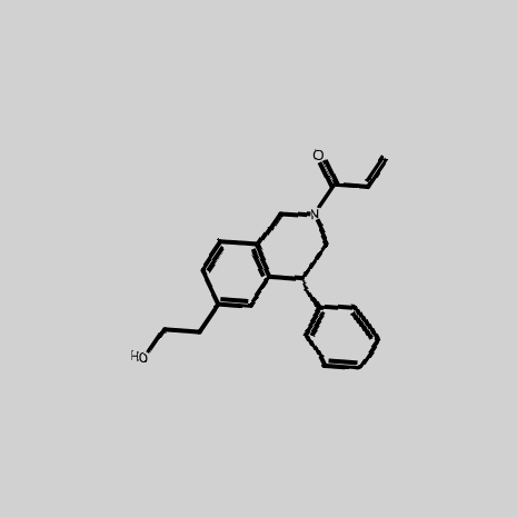 C=CC(=O)N1Cc2ccc(CCO)cc2[C@H](c2ccccc2)C1